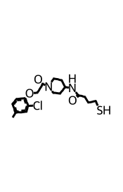 Cc1ccc(OCC(=O)N2CCC(NC(=O)CCCS)CC2)c(Cl)c1